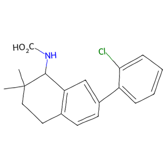 CC1(C)CCc2ccc(-c3ccccc3Cl)cc2C1NC(=O)O